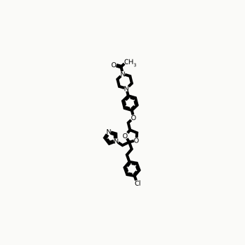 CC(=O)N1CCN(c2ccc(OCC3COC(CCc4ccc(Cl)cc4)(Cn4ccnc4)O3)cc2)CC1